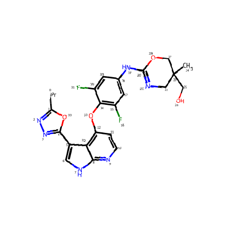 CC(C)c1nnc(-c2c[nH]c3nccc(Oc4c(F)cc(NC5=NCC(C)(CO)CO5)cc4F)c23)o1